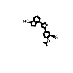 CC(C)Oc1ccc(-c2cc(-c3cccc4c3CCC4O)cs2)cc1C#N